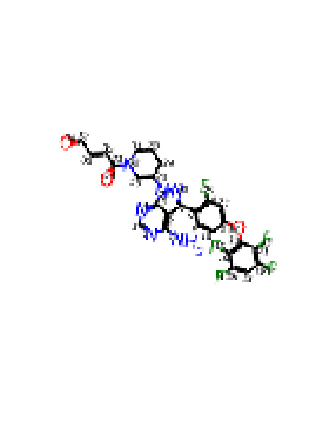 Nc1ncnc2c1c(-c1ccc(Oc3c(F)c(F)cc(F)c3F)cc1F)nn2C1CCCN(C(=O)/C=C/C=O)C1